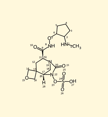 CNC1CCCC1ONC(=O)[C@@H]1CC2(COC2)[C@@H]2CN1C(=O)N2OS(=O)(=O)O